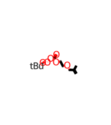 C=C(C)COCCOC(=O)OOOC(C)(C)C